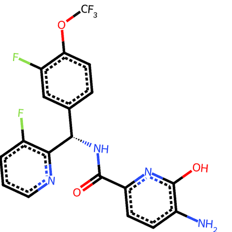 Nc1ccc(C(=O)N[C@@H](c2ccc(OC(F)(F)F)c(F)c2)c2ncccc2F)nc1O